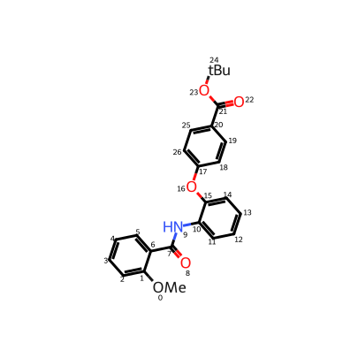 COc1ccccc1C(=O)Nc1ccccc1Oc1ccc(C(=O)OC(C)(C)C)cc1